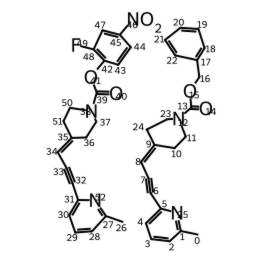 Cc1cccc(C#CC=C2CCN(C(=O)OCc3ccccc3)CC2)n1.Cc1cccc(C#CC=C2CCN(C(=O)Oc3ccc([N+](=O)[O-])cc3F)CC2)n1